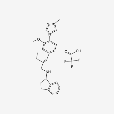 CCC(=Cc1ccc(-n2cnc(C)c2)c(OC)c1)CNC1CCc2ccccc21.O=C(O)C(F)(F)F